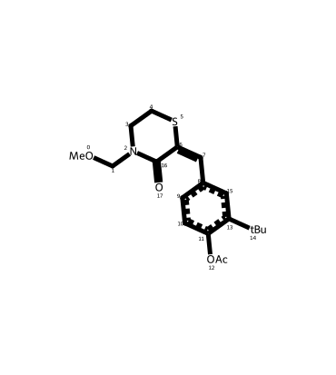 COCN1CCSC(=Cc2ccc(OC(C)=O)c(C(C)(C)C)c2)C1=O